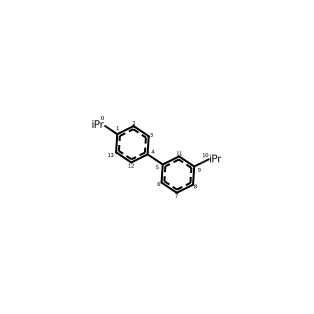 CC(C)c1ccc(-c2cccc(C(C)C)c2)cc1